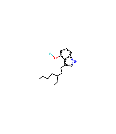 CCCCC(CC)CCc1c[nH]c2cccc(OF)c12